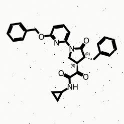 O=C(NC1CC1)C(=O)[C@H]1CN(c2cccc(OCc3ccccc3)n2)C(=O)[C@@H]1Cc1ccccc1